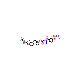 CC(C)(C)[Si](C)(C)Oc1ccc2c(c1)CCC1C2CC[C@@]2(C)C1CC[C@@H]2OC(=O)CNC(=O)c1cccc(S(N)(=O)=O)c1